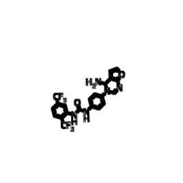 NC1c2ccoc2N=CN1c1ccc(NC(=O)Nc2cc(C(F)(F)F)ccc2C(F)(F)F)cc1